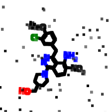 COc1ccc(Cc2nnc(N3CCC(CO)CC3)c3ccc([N+](=O)[O-])c(N)c23)cc1Cl